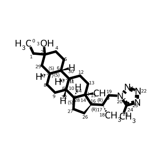 CCC1(O)CC[C@H]2[C@@H](CC[C@@H]3[C@@H]2CC[C@]2(C)[C@@H]([C@@H](C)Cn4nnnc4C)CC[C@@H]32)C1